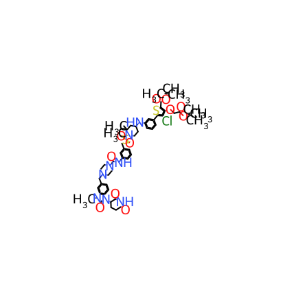 Cn1c(=O)n(C2CCC(=O)NC2=O)c2ccc(CN3CCN(C(=O)Nc4cccc(CS(=O)(=O)N5CC[C@H](Nc6cccc(-c7sc(C(=O)OC(C)(C)C)c(OCC(=O)OC(C)(C)C)c7Cl)c6)CC5(C)C)c4)CC3)cc21